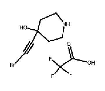 O=C(O)C(F)(F)F.OC1(C#CBr)CCNCC1